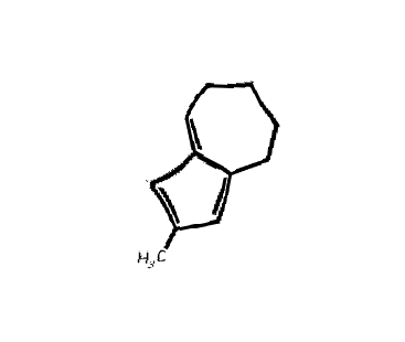 CC1=[C]C2=CCCCCC2=C1